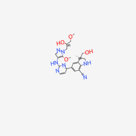 COC[C@H](O)Cn1ncc(Nc2nccc(-c3cc(C#N)c4c(c3)[C@@](C)(CO)CN4)n2)c1OC